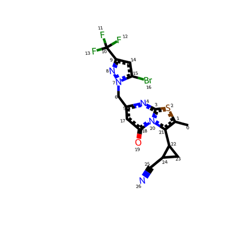 Cc1sc2nc(Cn3nc(C(F)(F)F)cc3Br)cc(=O)n2c1C1CC1C#N